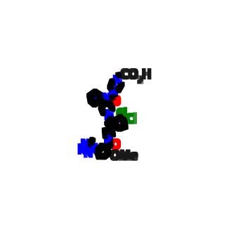 COc1ccc(-n2nnnc2C)cc1C(=O)N1CCC(CCN2CCC(NC(=O)N3CCN(CC(=O)O)CC3)(c3ccccc3)CC2)(c2ccc(Cl)c(Cl)c2)C1